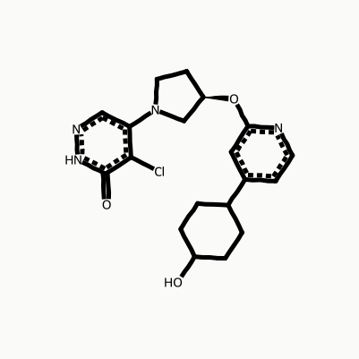 O=c1[nH]ncc(N2CC[C@@H](Oc3cc(C4CCC(O)CC4)ccn3)C2)c1Cl